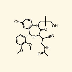 COc1cccc([C@H]2O[C@H](C(C#N)CNC(C)=O)C(=O)N(CC(C)(C)CO)c3ccc(Cl)cc32)c1OC